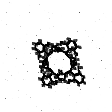 Fc1cccc(F)c1C1=C2C=CC(=N2)C(c2c(F)cccc2F)=C2C=CC(=N2)C(c2c(F)cccc2F)=C2C=CC(=N2)C(c2c(F)cccc2F)=C2C=CC1=N2